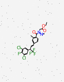 C=NN(CC(=O)OCC)C(=O)c1ccc(/C=C/C(c2cc(Cl)c(F)c(Cl)c2)C(F)(F)F)cc1C